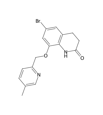 Cc1ccc(COc2cc(Br)cc3c2NC(=O)CC3)nc1